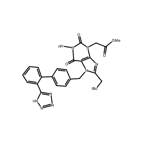 CCCn1c(=O)c2c(nc(CC(C)(C)C)n2Cc2ccc(-c3ccccc3-c3nnn[nH]3)cc2)n(CC(=O)OC)c1=O